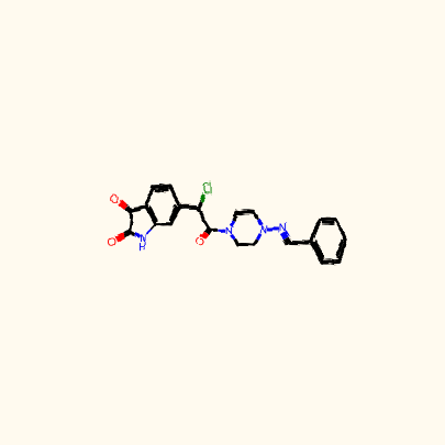 O=C1Nc2cc(C(Cl)C(=O)N3CCN(N=Cc4ccccc4)CC3)ccc2C1=O